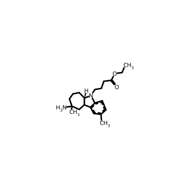 CCOC(=O)CCCN1c2ccc(C)cc2C2CC(C)(N)CCC[C@@H]21